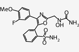 COc1ccc(-c2nc(CN(O)C(N)=O)oc2-c2ccccc2S(N)(=O)=O)cc1F